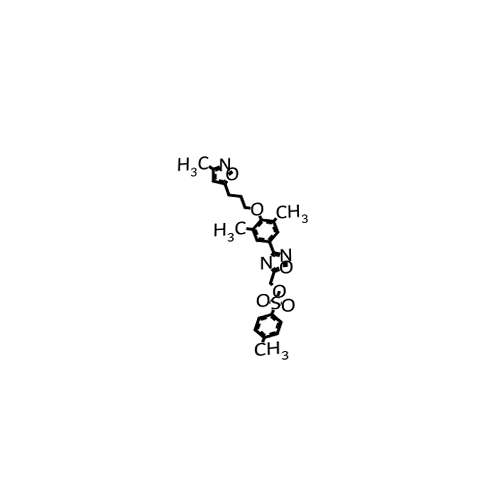 Cc1ccc(S(=O)(=O)OCc2nc(-c3cc(C)c(OCCCc4cc(C)no4)c(C)c3)no2)cc1